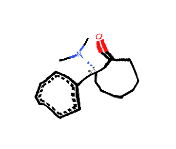 CN(C)[C@@]1(c2ccccc2)CCCCC1=O